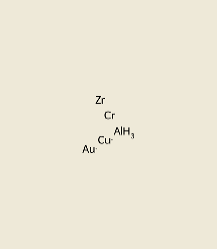 [AlH3].[Au].[Cr].[Cu].[Zr]